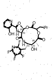 CC(C)CC1OC(=O)[C@H](C)[C@H](O)[C@H](Cc2c(F)nc(F)c(F)c2F)NC(=O)[C@@H](NC(=O)c2ncccc2O)[C@@H](C)OC1=O